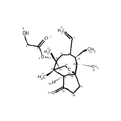 C=CC1C[C@@H](OC(=O)CO)[C@]2(C)[C@H](C)CC[C@]3(CCC(=O)[C@H]32)[C@@H](C)[C@@H]1C